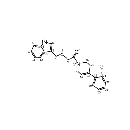 O=C(CSCc1c[nH]c2ccccc12)N1CC=C(c2ccccc2F)CC1